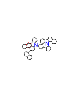 C1=Cc2c(ccc3c4ccccc4n(-c4ccccc4-c4ccc(N(c5ccccc5-c5ccc6ccccc6c5)c5ccc(-c6cccc7ccccc67)c6ccccc56)cc4)c23)CC1